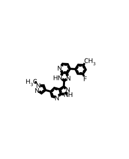 Cc1cc(F)cc(-c2ccnc3[nH]c(-c4n[nH]c5ncc(-c6cnn(C)c6)cc45)nc23)c1